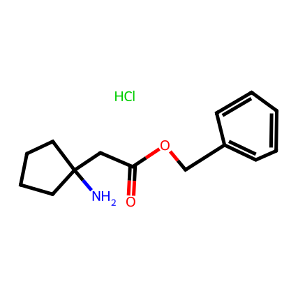 Cl.NC1(CC(=O)OCc2ccccc2)CCCC1